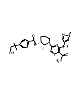 C[C@@H]1[C@H](NC(=O)c2ccc(C(C)(C)CO)cc2)CCCN1c1cnc(C(N)=O)c(Nc2cnn(C)c2)n1